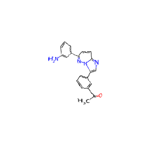 CC(=O)c1cccc(-c2cnc3ccc(-c4cccc(N)c4)nn23)c1